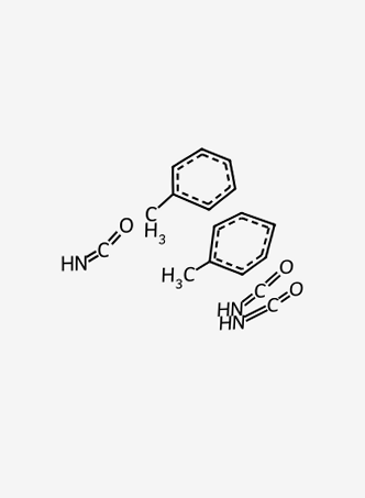 Cc1ccccc1.Cc1ccccc1.N=C=O.N=C=O.N=C=O